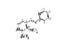 Nc1nccc(C=Cc2ccccn2)c1[N+](=O)[O-]